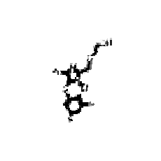 CCn1c(COCCO)nc(C(C)C)c1Sc1cc(F)cc(F)c1